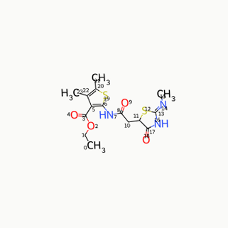 CCOC(=O)c1c(NC(=O)CC2S/C(=N\C)NC2=O)sc(C)c1C